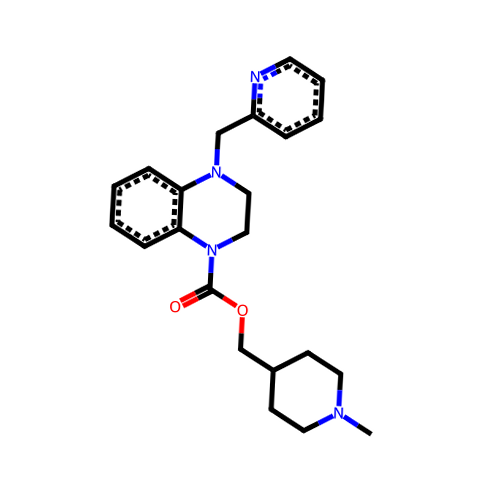 CN1CCC(COC(=O)N2CCN(Cc3ccccn3)c3ccccc32)CC1